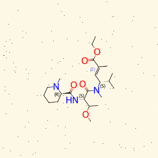 CCOC(=O)/C(C)=C/[C@H](C(C)C)N(C)C(=O)[C@@H](NC(=O)[C@H]1CCCCN1C)C(C)OC